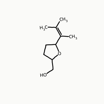 CC(C)=C(C)C1CCC(CO)O1